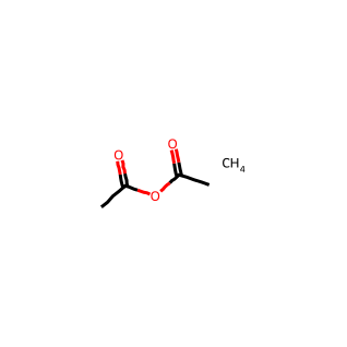 C.CC(=O)OC(C)=O